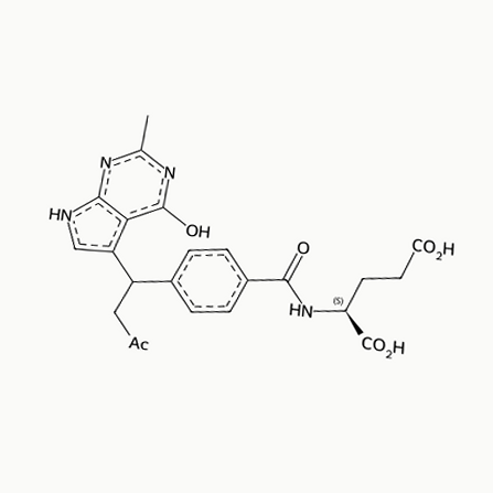 CC(=O)CC(c1ccc(C(=O)N[C@@H](CCC(=O)O)C(=O)O)cc1)c1c[nH]c2nc(C)nc(O)c12